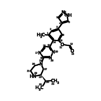 Cc1cc(-c2cn[nH]c2)cc(OC=O)c1-c1cnc(N2CCN[C@@H](C(C)C)C2)nn1